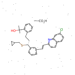 CC(=O)O.CC(C)(O)c1ccccc1CC[C@@H](SCC1CC1)c1cccc(/C=C/c2ccc3ccc(Cl)cc3n2)c1